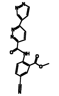 COC(=O)c1cc(C#N)ccc1NC(=O)c1ccc(-c2ccnnc2)nn1